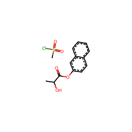 CC(O)C(=O)Oc1ccc2ccccc2c1.CS(=O)(=O)Cl